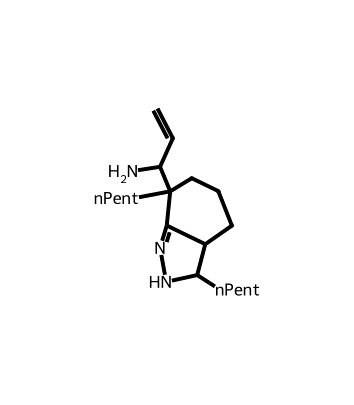 C=CC(N)C1(CCCCC)CCCC2C1=NNC2CCCCC